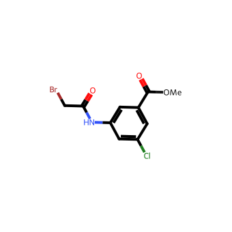 COC(=O)c1cc(Cl)cc(NC(=O)CBr)c1